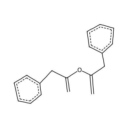 C=C(Cc1ccccc1)OC(=C)Cc1ccccc1